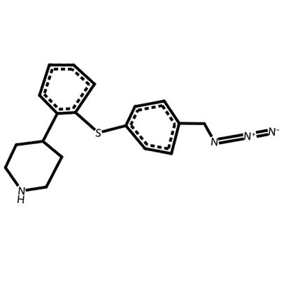 [N-]=[N+]=NCc1ccc(Sc2ccccc2C2CCNCC2)cc1